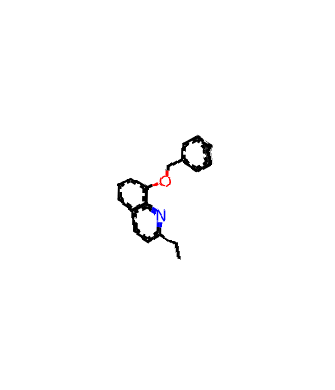 CCc1ccc2cccc(OCc3ccccc3)c2n1